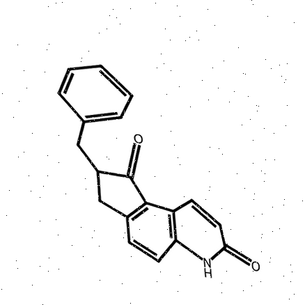 O=C1c2c(ccc3[nH]c(=O)ccc23)CC1Cc1ccccc1